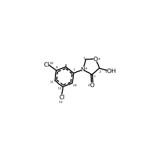 O=C1C(O)OCN1c1cc(Cl)cc(Cl)c1